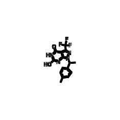 Cc1ccc(C(C)n2nc(C(F)(F)F)c3c(=O)[nH]c(O)nc32)cc1